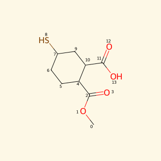 COC(=O)C1CCC(S)CC1C(=O)O